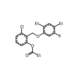 CCC(=O)Oc1cccc(Cl)c1COc1cc(F)c(CC)cc1CC